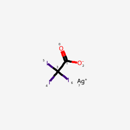 O=C([O-])C(I)(I)I.[Ag+]